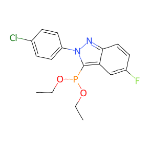 CCOP(OCC)c1c2cc(F)ccc2nn1-c1ccc(Cl)cc1